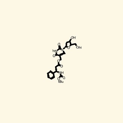 CC(C)(C)OC(=O)NC(CC(=O)OCc1cn(C2CC(O)C(CO)O2)c(=O)[nH]c1=O)c1ccccc1